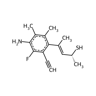 C#Cc1c(F)c(N)c(C)c(C)c1/C(C)=C/[C@@H](C)S